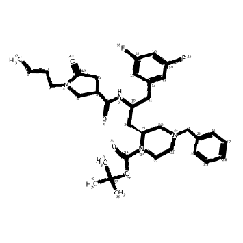 CCCCN1CC(C(=O)NC(Cc2cc(F)cc(F)c2)C[C@H]2CN(Cc3ccccc3)CCN2C(=O)OC(C)(C)C)CC1=O